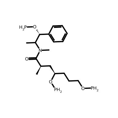 CC([C@H](OP)c1ccccc1)N(C)C(=O)[C@H](C)C[C@@H](CCCOP)OP